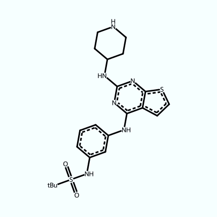 CC(C)(C)S(=O)(=O)Nc1cccc(Nc2nc(NC3CCNCC3)nc3sccc23)c1